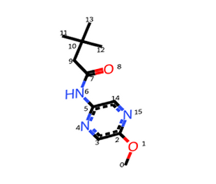 COc1cnc(NC(=O)CC(C)(C)C)cn1